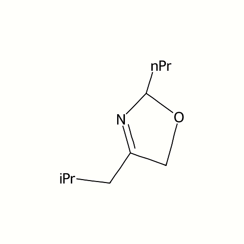 CCCC1N=C(CC(C)C)CO1